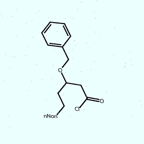 CCCCCCCCCCCC(CC(=O)Cl)OCc1ccccc1